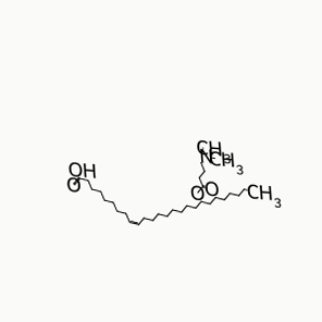 CCCCCCCC(CCCCCCCC/C=C\CCCCCCCC(=O)O)OC(=O)CCCN(C)C